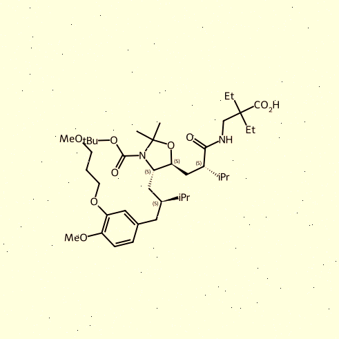 CCC(CC)(CNC(=O)[C@@H](C[C@@H]1OC(C)(C)N(C(=O)OC(C)(C)C)[C@H]1C[C@H](Cc1ccc(OC)c(OCCCOC)c1)C(C)C)C(C)C)C(=O)O